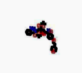 CC(C)(C)OC(=O)C(CCn1nnc2ccccc2c1=O)(CC(=O)c1noc2cc(OCCC3CCOCC3)ccc12)C(=O)OC(C)(C)C